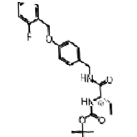 CC[C@H](NC(=O)OC(C)(C)C)C(=O)NCc1ccc(OCc2ccccc2F)cc1